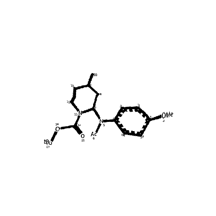 COc1ccc(N(C(C)=O)C2CC(C)CCN2C(=O)OC(C)(C)C)cc1